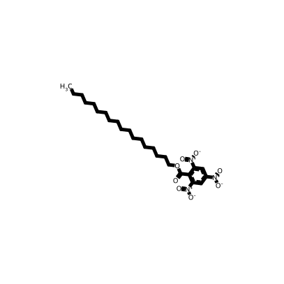 CCCCCCCCCCCCCCCCCCOC(=O)c1c([N+](=O)[O-])cc([N+](=O)[O-])cc1[N+](=O)[O-]